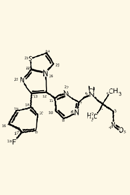 CC(C)(CN=O)Nc1nccc(-c2c(-c3ccc(F)cc3)nc3sccn23)n1